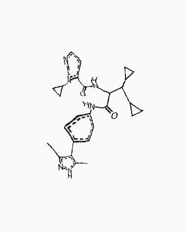 Cc1n[nH]c(C)c1-c1ccc(NC(=O)C(NC(=O)c2ccnn2C2CC2)C(C2CC2)C2CC2)cc1